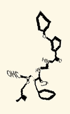 C=C(C)CON(C=O)C[C@@H](CC1CCCC1)C(=O)NCNC(=O)c1cccc(Oc2ccccc2)c1